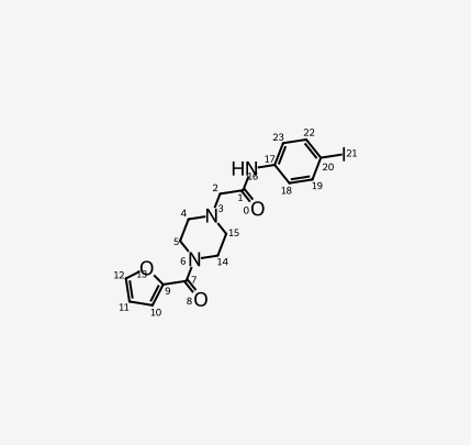 O=C(CN1CCN(C(=O)c2ccco2)CC1)Nc1ccc(I)cc1